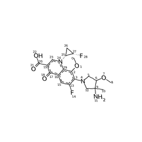 COc1c(N2CC(OC)C(C)(N)C2)c(F)cc2c(=O)c(C(=O)O)cn([C@@H]3C[C@@H]3F)c12